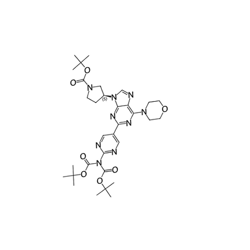 CC(C)(C)OC(=O)N1CC[C@H](n2cnc3c(N4CCOCC4)nc(-c4cnc(N(C(=O)OC(C)(C)C)C(=O)OC(C)(C)C)nc4)nc32)C1